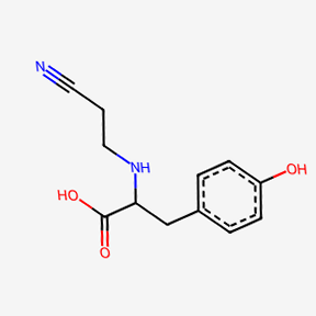 N#CCCNC(Cc1ccc(O)cc1)C(=O)O